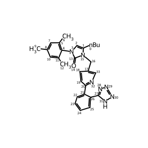 CCCCc1cn(-c2c(C)cc(C)cc2C)c(=O)n1Cc1ccc(-c2ccccc2-c2nnn[nH]2)nc1